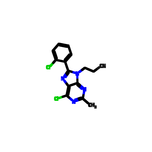 Cc1nc(Cl)c2nc(-c3ccccc3Cl)n(CCC#N)c2n1